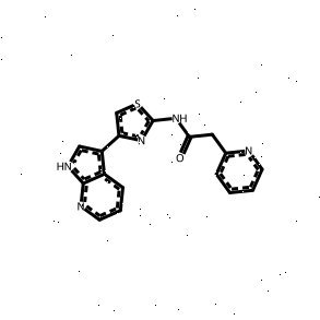 O=C(Cc1ccccn1)Nc1nc(-c2c[nH]c3ncccc23)cs1